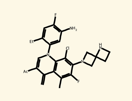 C=C1C(C(C)=O)=CN(c2cc(N)c(F)cc2CC)c2c(Cl)c(N3CC4(CCN4)C3)c(F)c(C)c21